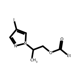 CCC(=O)OCC(C)n1cc(I)cn1